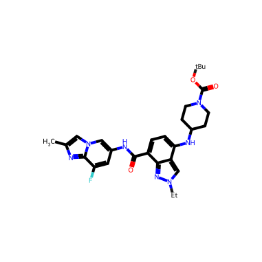 CCn1cc2c(NC3CCN(C(=O)OC(C)(C)C)CC3)ccc(C(=O)Nc3cc(F)c4nc(C)cn4c3)c2n1